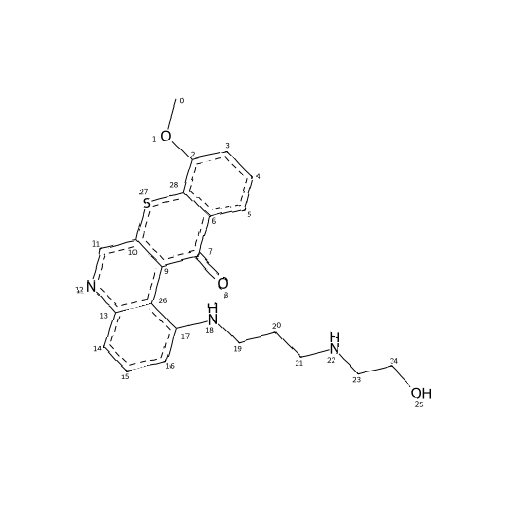 COc1cccc2c(=O)c3c(cnc4cccc(NCCCNCCO)c43)sc12